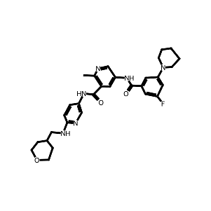 Cc1ncc(NC(=O)c2cc(F)cc(N3CCCCC3)c2)cc1C(=O)Nc1ccc(NCC2CCOCC2)nc1